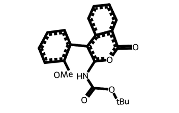 COc1ccccc1-c1c(NC(=O)OC(C)(C)C)oc(=O)c2ccccc12